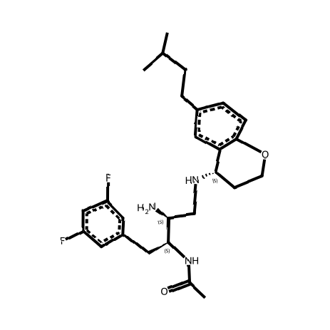 CC(=O)N[C@@H](Cc1cc(F)cc(F)c1)[C@@H](N)CN[C@H]1CCOc2ccc(CCC(C)C)cc21